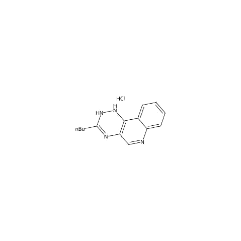 CCCCC1=Nc2cnc3ccccc3c2NN1.Cl